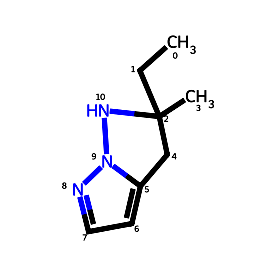 CCC1(C)Cc2ccnn2N1